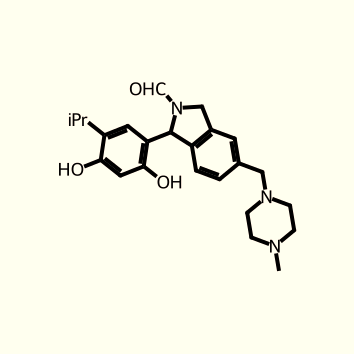 CC(C)c1cc(C2c3ccc(CN4CCN(C)CC4)cc3CN2C=O)c(O)cc1O